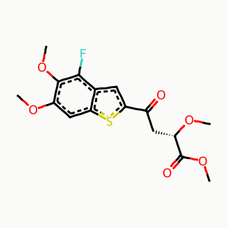 COC(=O)[C@H](CC(=O)c1cc2c(F)c(OC)c(OC)cc2s1)OC